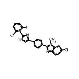 Cn1c(-c2ccc(-c3c[nH]c(-c4c(F)cccc4Cl)n3)cc2)nc2ccc(Cl)cc21